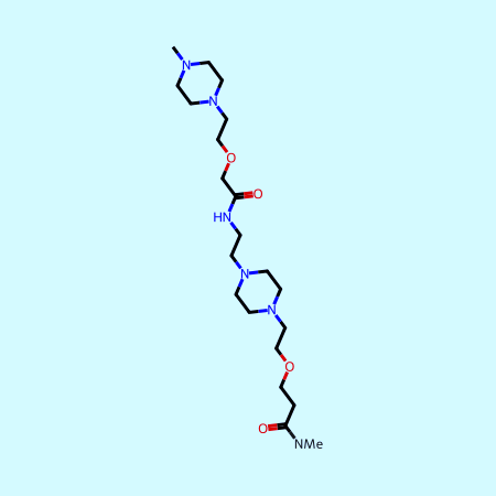 CNC(=O)CCOCCN1CCN(CCNC(=O)COCCN2CCN(C)CC2)CC1